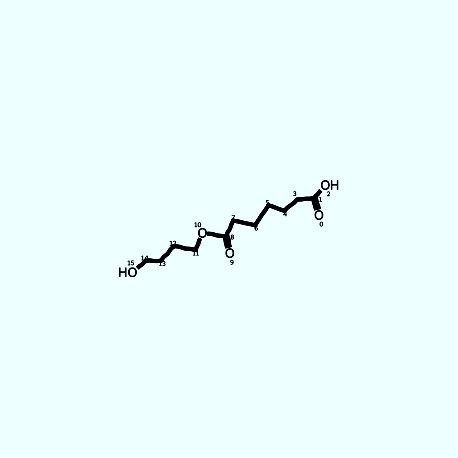 O=C(O)CCCCCC(=O)OCCCCO